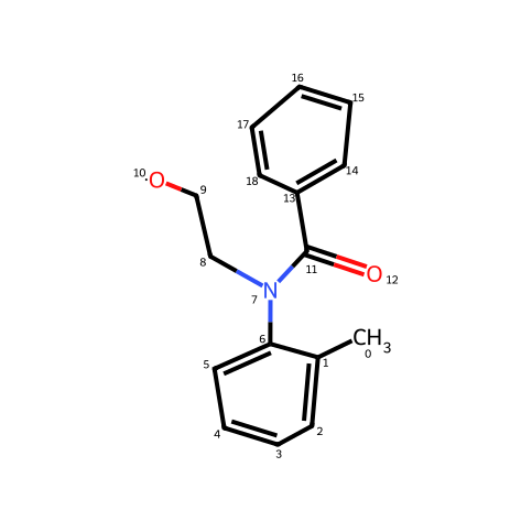 Cc1ccccc1N(CC[O])C(=O)c1ccccc1